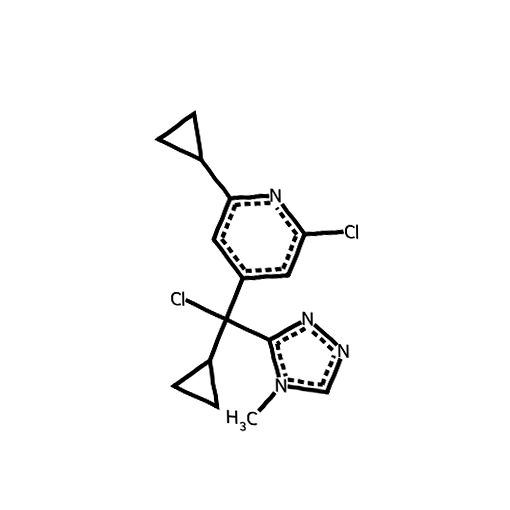 Cn1cnnc1C(Cl)(c1cc(Cl)nc(C2CC2)c1)C1CC1